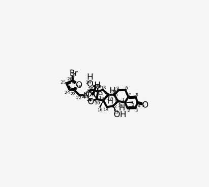 C[C@]12C=CC(=O)C=C1CC[C@@H]1[C@@H]2[C@@H](O)C[C@@]2(C)[C@H]1C[C@H]1CN(Cc3ccc(Br)o3)O[C@]12C(=O)CO